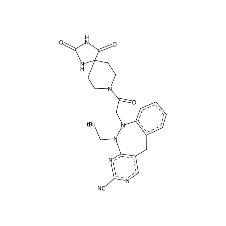 CC(C)(C)CN1c2nc(C#N)ncc2Cc2ccccc2N1CC(=O)N1CCC2(CC1)NC(=O)NC2=O